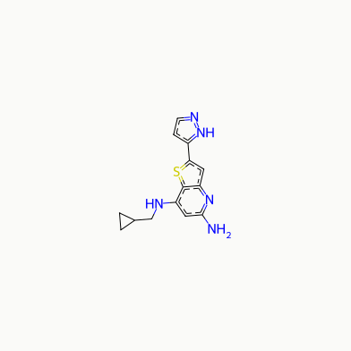 Nc1cc(NCC2CC2)c2sc(-c3ccn[nH]3)cc2n1